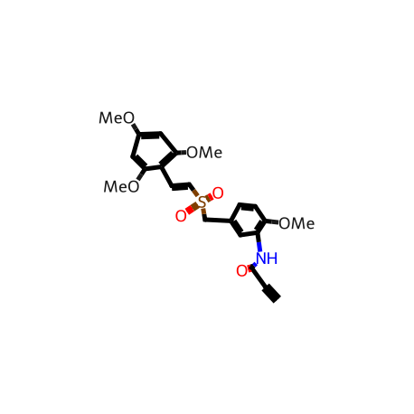 C#CC(=O)Nc1cc(CS(=O)(=O)/C=C/c2c(OC)cc(OC)cc2OC)ccc1OC